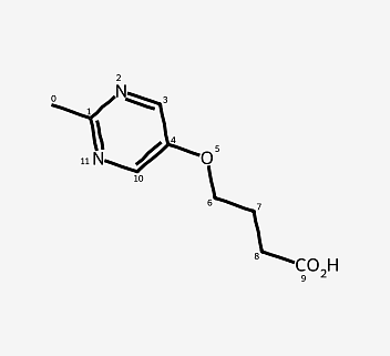 Cc1ncc(OCCCC(=O)O)cn1